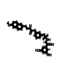 COc1ccc2cc(CCNC(=O)Cc3cccc(CC(C)(C)NCC(O)c4cc(O)cc(O)c4)c3)ccc2c1